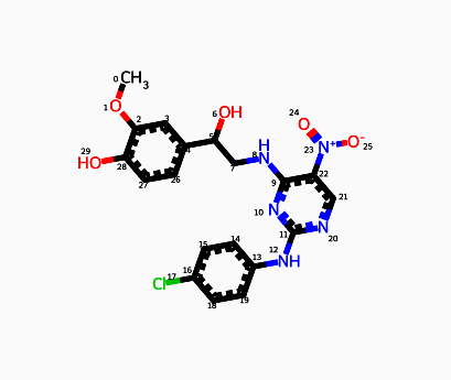 COc1cc(C(O)CNc2nc(Nc3ccc(Cl)cc3)ncc2[N+](=O)[O-])ccc1O